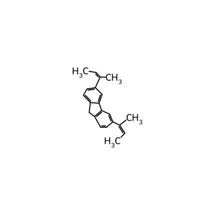 C/C=C(/C)c1ccc2c(c1)-c1cc(/C(C)=C\C)ccc1C2